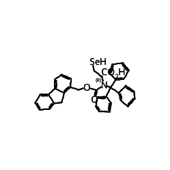 O=C(O)[C@H](C[SeH])N(C(=O)OCc1cccc2c1Cc1ccccc1-2)C(c1ccccc1)(c1ccccc1)c1ccccc1